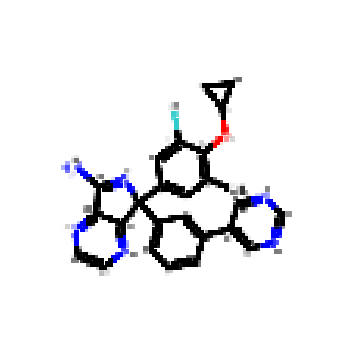 Cc1cc(C2(c3cccc(-c4cncnc4)c3)N=C(N)c3nccnc32)cc(F)c1OC1CC1